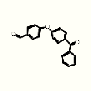 O=Cc1ccc(Oc2ccc(C(=O)c3ccccc3)cc2)cc1